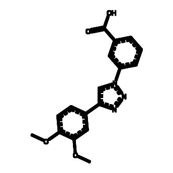 COc1ccc(-c2cn(-c3cccc(C(=O)O)c3)nn2)cc1OC